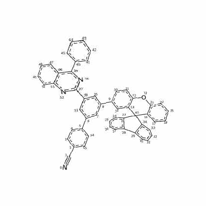 N#Cc1ccc(-c2cc(-c3ccc4c(c3)C3(c5ccccc5O4)c4ccccc4-c4ccccc43)cc(-c3nc(-c4ccccc4)c4ccccc4n3)c2)cc1